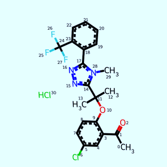 CC(=O)c1cc(Cl)ccc1OC(C)(C)c1nnc(-c2ccccc2C(F)(F)F)n1C.Cl